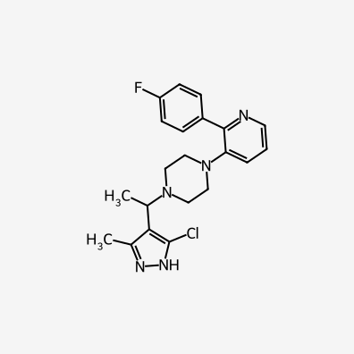 Cc1n[nH]c(Cl)c1C(C)N1CCN(c2cccnc2-c2ccc(F)cc2)CC1